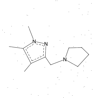 Cc1c(CN2CCCC2)nn(C)c1C